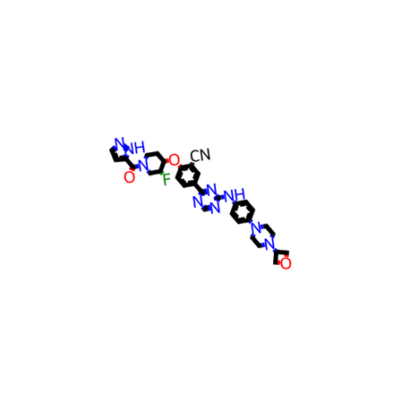 N#Cc1cc(-c2ncnc(Nc3ccc(N4CCN(C5COC5)CC4)cc3)n2)ccc1OC1CCN(C(=O)c2ccn[nH]2)CC1F